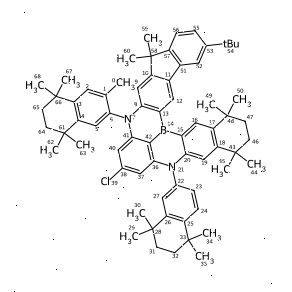 Cc1cc2c(cc1N1c3cc4c(cc3B3c5cc6c(cc5N(c5ccc7c(c5)C(C)(C)CCC7(C)C)c5cc(Cl)cc1c53)C(C)(C)CCC6(C)C)-c1cc(C(C)(C)C)ccc1C4(C)C)C(C)(C)CCC2(C)C